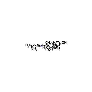 C[C@@H](C/C=N/OCCN(C)C)[C@@]1(C)CC[C@H]2[C@@H](CC[C@@H]3C[C@@H](O)CC[C@@]32C)C1=O